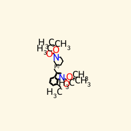 CCc1cccc2c(C[C@H]3CCCN(C(=O)OC(C)(C)C)C3)cn(C(=O)OC(C)(C)C)c12